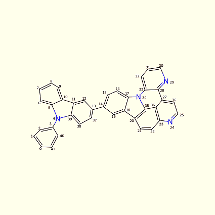 c1ccc(-n2c3ccccc3c3cc(-c4ccc5c(c4)c4ccc6nccc7c8ncccc8n5c4c67)ccc32)cc1